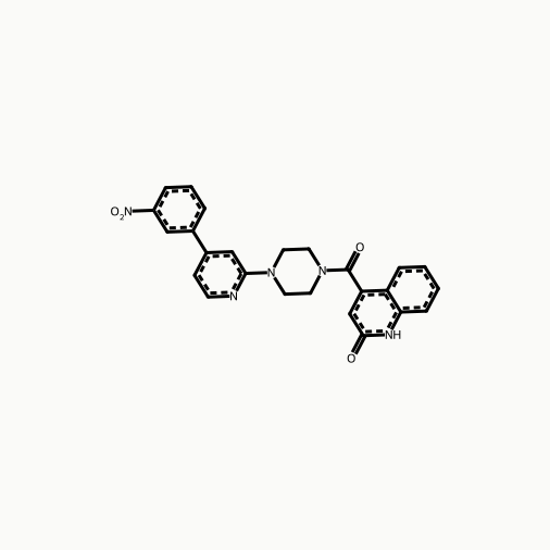 O=C(c1cc(=O)[nH]c2ccccc12)N1CCN(c2cc(-c3cccc([N+](=O)[O-])c3)ccn2)CC1